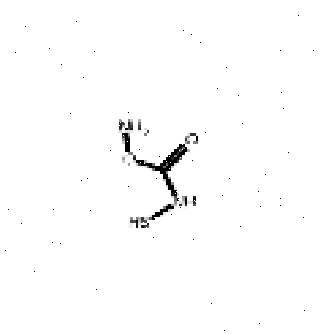 NOC(=O)NS